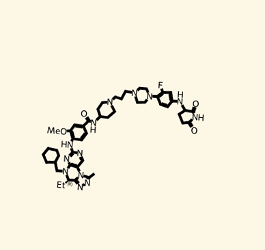 CC[C@@H]1c2nnc(C)n2-c2cnc(Nc3ccc(C(=O)NC4CCN(CCCN5CCN(c6ccc(NC7CCC(=O)NC7=O)cc6F)CC5)CC4)cc3OC)nc2N1CC1CCCCC1